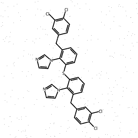 Clc1ccc(Cc2cccc(Sc3cccc(Cc4ccc(Cl)c(Cl)c4)c3-n3ccnc3)c2-n2ccnc2)cc1Cl